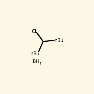 B.CCCCC(Cl)CCCC